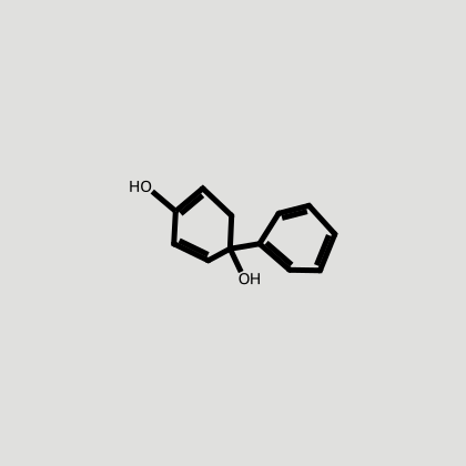 OC1=CCC(O)(c2ccccc2)C=C1